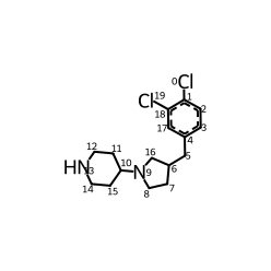 Clc1ccc(CC2CCN(C3CCNCC3)C2)cc1Cl